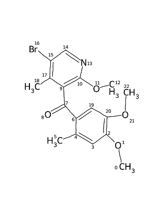 COc1cc(C)c(C(=O)c2c(OC)ncc(Br)c2C)cc1OC